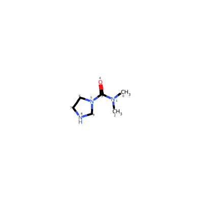 CN(C)C(=O)N1CCNC1